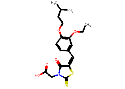 CCOc1cc(C=C2SC(=S)N(CC(=O)O)C2=O)ccc1OCCC(C)C